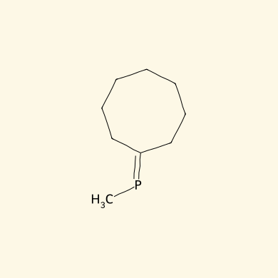 CP=C1CCCCCCC1